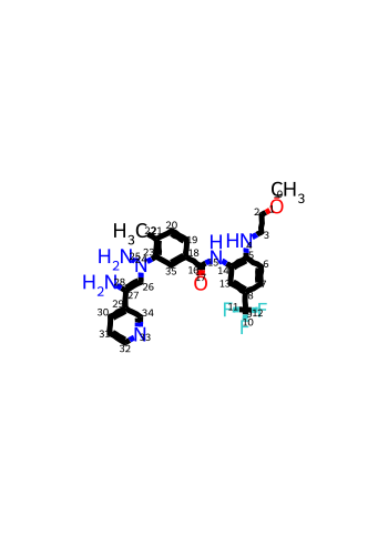 COCCNc1ccc(C(F)(F)F)cc1NC(=O)c1ccc(C)c(N(N)/C=C(\N)c2cccnc2)c1